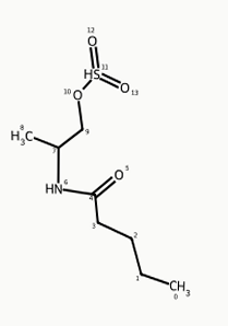 CCCCC(=O)NC(C)CO[SH](=O)=O